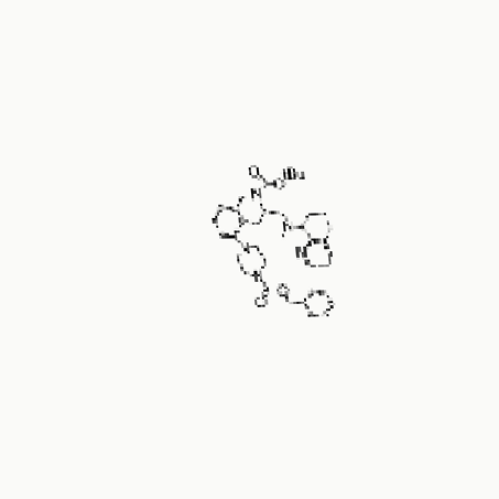 CN(CC1Cc2c(cccc2N2CCN(C(=O)OCc3ccccc3)CC2)CN1C(=O)OC(C)(C)C)C1CCCc2cccnc21